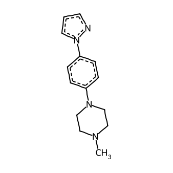 CN1CCN(c2ccc(-n3cccn3)cc2)CC1